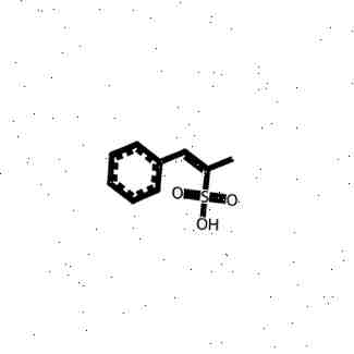 CC(=Cc1ccccc1)S(=O)(=O)O